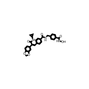 O=C(NC1CC1)C(=Cc1ccc(C(=O)NCc2ccc(C(=O)NO)cc2)cc1)c1ccc2c(c1)OCO2